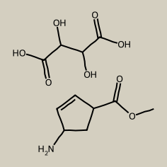 COC(=O)C1C=CC(N)C1.O=C(O)C(O)C(O)C(=O)O